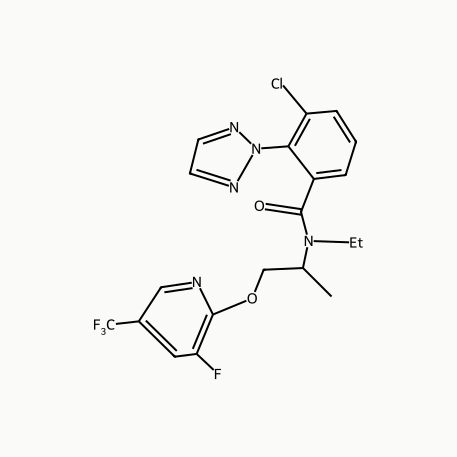 CCN(C(=O)c1cccc(Cl)c1-n1nccn1)C(C)COc1ncc(C(F)(F)F)cc1F